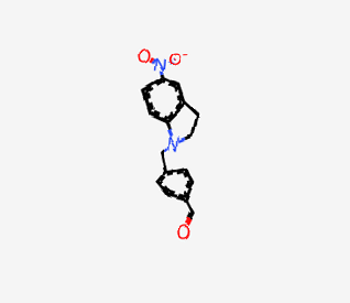 O=Cc1ccc(CN2CCc3cc([N+](=O)[O-])ccc32)cc1